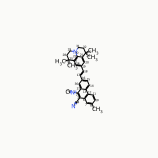 [C-]#[N+]c1c(C#N)c2cc(C)ccc2c2ccc(C=Cc3cc4c5c(c3)C(C)(C)CCN5CCC4(C)C)cc12